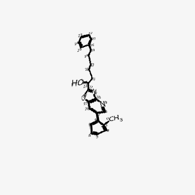 Cc1ccccc1-c1cnc2nc(C(O)CCCCCc3ccccc3)oc2c1